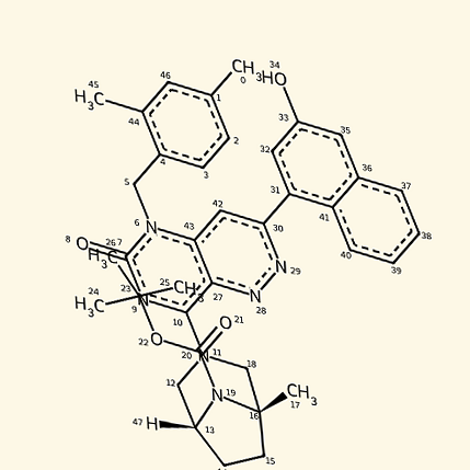 Cc1ccc(Cn2c(=O)nc(N3C[C@H]4CC[C@@](C)(C3)N4C(=O)OC(C)(C)C)c3nnc(-c4cc(O)cc5ccccc45)cc32)c(C)c1